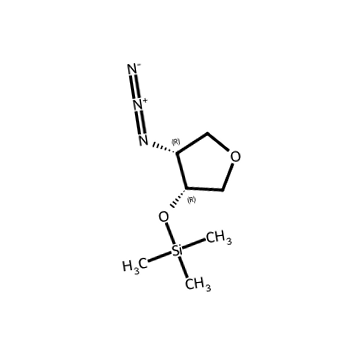 C[Si](C)(C)O[C@H]1COC[C@H]1N=[N+]=[N-]